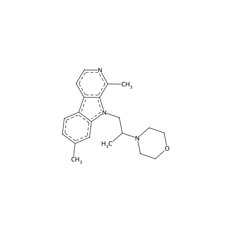 Cc1ccc2c3ccnc(C)c3n(CC(C)N3CCOCC3)c2c1